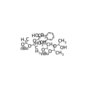 CCCCOC(C)OC(C)OC(C)O.CCCCOC(C)OC(C)OC(C)O.O=C(O)c1ccccc1C(=O)O